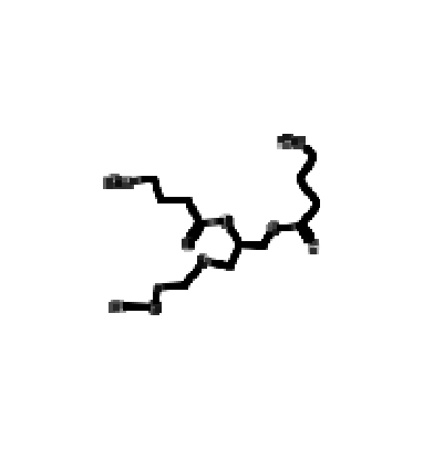 CCCCCCCCCCCCCC(=O)OCC(COCCOC(C)C)OC(=O)CCCCCCCCCCCCC